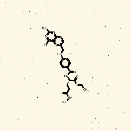 CCOC(=O)[C@H](CCC(=O)NC)NC(=O)c1ccc(NCc2cnc3nc(N)nc(O)c3n2)cc1